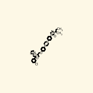 CCC(C)n1ncn(-c2ccc(N3CCN(c4ccc(OCC5COC(Cn6nccn6)(c6cccc(Cl)c6)O5)cc4)CC3)cc2)c1=O